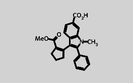 COC(=O)C1=C(c2c(-c3ccccc3)n(C)c3cc(C(=O)O)ccc23)CCC1